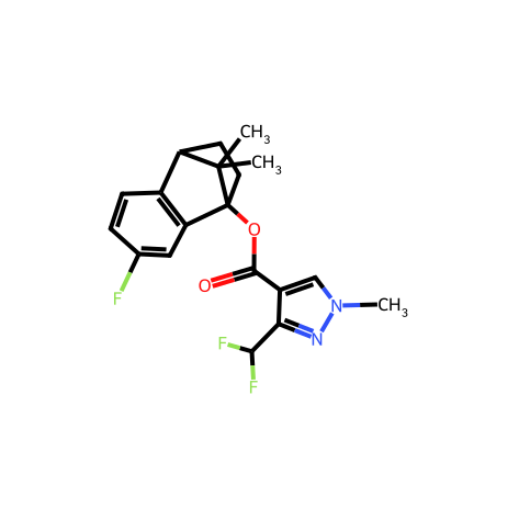 Cn1cc(C(=O)OC23CCC(c4ccc(F)cc42)C3(C)C)c(C(F)F)n1